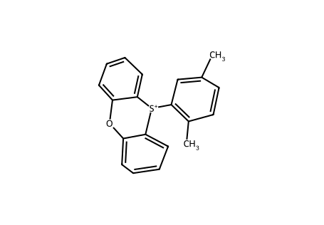 Cc1ccc(C)c([S+]2c3ccccc3Oc3ccccc32)c1